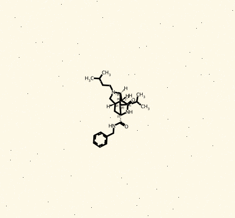 CC(C)CCN1C[C@H]2C[C@]3(C(=O)NCc4ccccc4)NC(=O)[C@H]2[C@H]1[C@H]3CC(C)C